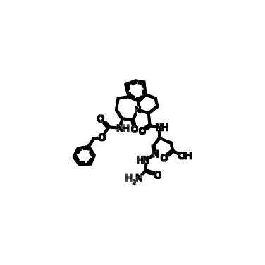 NC(=O)N/N=C/[C@H](CC(=O)O)NC(=O)C1CCc2cccc3c2N1C(=O)[C@@H](NC(=O)OCc1ccccc1)CC3